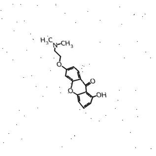 CN(C)CCOc1ccc2c(=O)c3c(O)cccc3oc2c1